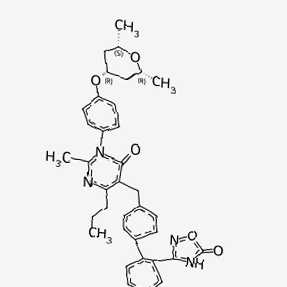 CCCc1nc(C)n(-c2ccc(O[C@H]3C[C@@H](C)O[C@@H](C)C3)cc2)c(=O)c1Cc1ccc(-c2ccccc2-c2noc(=O)[nH]2)cc1